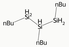 CCCC[SiH2][SiH](CCCC)[SiH2]CCCC